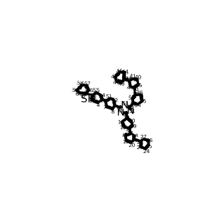 SC1(C2C=CC(c3ccc(-c4nc(-c5ccc(-c6cccc(-c7ccccc7)c6)cc5)nc(-c5cccc(-c6cccc(-c7ccccc7)c6)c5)n4)cc3)=CC2)C=CC=CC1